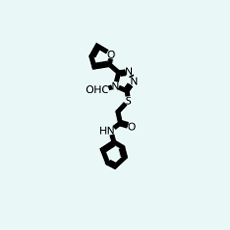 O=Cn1c(SCC(=O)Nc2ccccc2)nnc1-c1ccco1